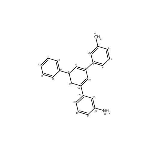 Cc1cccc(C2=CC(c3ccccc3)CC(c3cccc(N)c3)=C2)c1